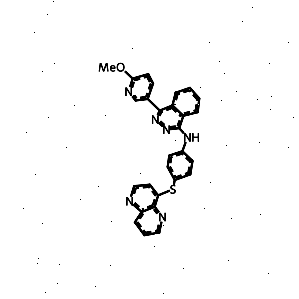 COc1ccc(-c2nnc(Nc3ccc(Sc4ccnc5cccnc45)cc3)c3ccccc23)cn1